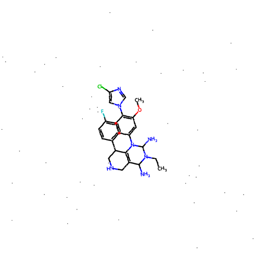 CCN1C(N)C2=C(C(c3ccc(F)cc3)CNC2)N(c2ccc(-n3cnc(Cl)c3)c(OC)c2)C1N